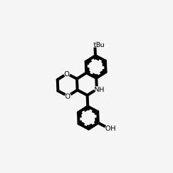 CC(C)(C)c1ccc2c(c1)C1OCCOC1C(c1cccc(O)c1)N2